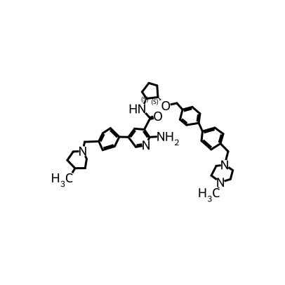 CC1CCN(Cc2ccc(-c3cnc(N)c(C(=O)N[C@H]4CCC[C@@H]4OCc4ccc(-c5ccc(CN6CCN(C)CC6)cc5)cc4)c3)cc2)CC1